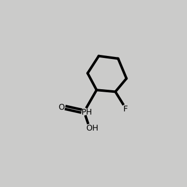 O=[PH](O)C1CCCCC1F